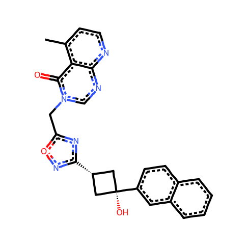 Cc1ccnc2ncn(Cc3nc([C@H]4C[C@](O)(c5ccc6ccccc6c5)C4)no3)c(=O)c12